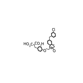 O=C(O)C(Cc1ccc(OCCn2c(=O)sc3cc(Cc4cccc(Cl)c4)ccc32)cc1)C(=O)O